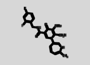 COc1c(C(=O)O)n(C2=CNC(C)=CC=C2)cc(C(=O)NCc2ccc(F)cc2F)c1=O